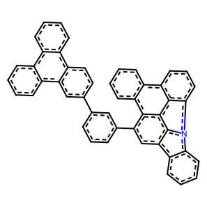 c1cc(-c2ccc3c4ccccc4c4ccccc4c3c2)cc(-c2cc3c4ccccc4n4c5cccc6c7ccccc7c2c(c65)c34)c1